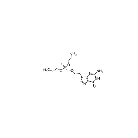 CCCOP(=O)(COCCn1cnc2c(=O)[nH]c(N)nc21)OCCC